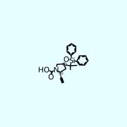 C#C[C@@H]1C[C@@H](O[Si](c2ccccc2)(c2ccccc2)C(C)(C)C)CN1C(=O)O